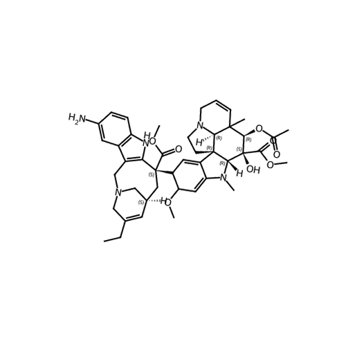 CCC1=C[C@H]2CN(C1)Cc1c([nH]c3ccc(N)cc13)[C@@](C(=O)OC)(C1C=C3C(=CC1OC)N(C)[C@H]1[C@@](O)(C(=O)OC)[C@H](OC(C)=O)C4(C)C=CCN5CC[C@]31[C@@H]54)C2